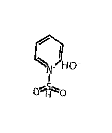 O=[SH](=O)[n+]1ccccc1.[OH-]